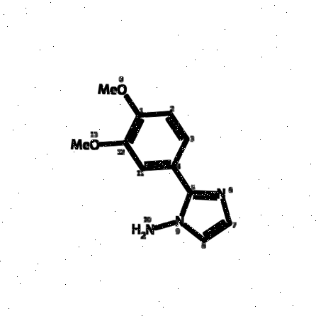 COc1ccc(-c2nccn2N)cc1OC